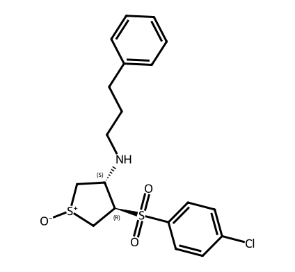 O=S(=O)(c1ccc(Cl)cc1)[C@H]1C[S+]([O-])C[C@@H]1NCCCc1ccccc1